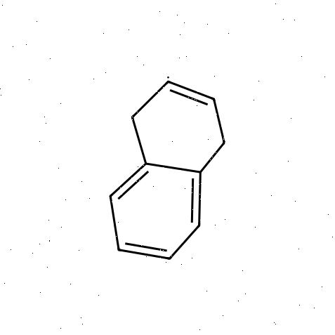 [C]1=CCc2ccccc2C1